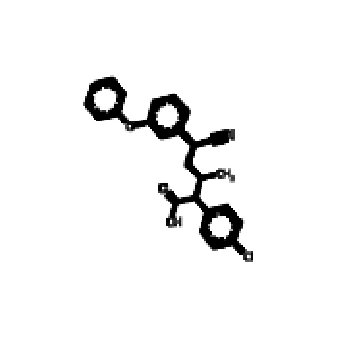 CC(CC(C#N)c1cccc(Oc2ccccc2)c1)C(C(=O)O)c1ccc(Cl)cc1